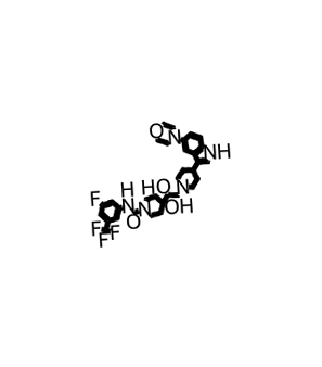 O=C(Nc1cc(F)cc(C(F)(F)F)c1)N1CCC(O)(C(O)CN2CCC(c3c[nH]c4ccc(N5CCOCC5)cc34)CC2)CC1